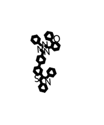 c1ccc(-c2nc(-c3ccc(-c4ccc5sc6c7ccccc7nc(-c7ccccc7)c6c5c4)cc3)nc(-c3cccc4oc5ccccc5c34)n2)cc1